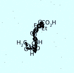 C=CCOC(=O)CCNC(=O)C1(C(=O)NCC(=O)Nc2ccc(COC(=O)N3CCN(c4cc5c(cc4F)c(=O)c(C(=O)O)cn5CC)CC3)cc2)CCC1